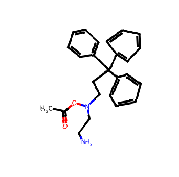 CC(=O)ON(CCN)CCC(c1ccccc1)(c1ccccc1)c1ccccc1